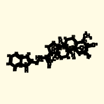 CN1C(=O)C(F)=C[C@@]2(C)C1CC[C@@H]1[C@H]2CC[C@]2(C)C(C(=O)NCc3nc4cccnc4[nH]3)CC[C@@H]12